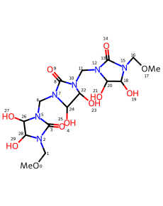 COCN1C(=O)N(CN2C(=O)N(CN3C(=O)N(COC)C(O)C3O)C(O)C2O)C(O)C1O